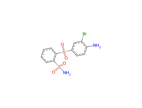 Nc1ccc(S(=O)(=O)c2ccccc2S(N)(=O)=O)cc1Br